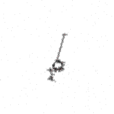 CCNC(=O)CCOCCOCCOCCOCCOCCOCCOCCOCCOCCOCCNC(=O)[C@@H]1CCCCn2cc(nn2)C[C@H](NC(=O)CC[C@H](NC(=O)c2ccc(NCc3cnc4nc(N)[nH]c(=O)c4n3)cc2)C(=O)O)C(=O)N[C@H](Cc2cnc[nH]2)C(=O)N[C@H](CO)C(=O)N[C@H](Cc2cnc[nH]2)C(=O)N[C@H]([C@H](C)O)C(=O)N[C@H](C)C(=O)N1